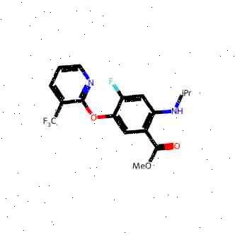 COC(=O)c1cc(Oc2ncccc2C(F)(F)F)c(F)cc1NC(C)C